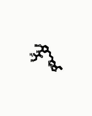 C=CC1=C(/C=C(/CCCc2ccc(OC)c(NC(=O)C(N)CC(C)C)c2)OCCC)OCS1